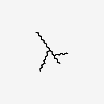 CCCCCCCCCCC(C[CH]C(CCCC)CCCCCC)CCCCCCCCCC